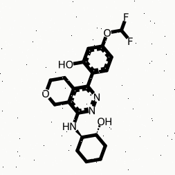 Oc1cc(OC(F)F)ccc1-c1nnc(N[C@@H]2CCCC[C@H]2O)c2c1CCOC2